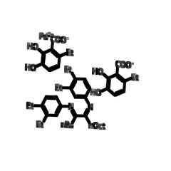 CCCCCCCCC(=Nc1ccc(CC)c(CC)c1)C(CCCC)=Nc1ccc(CC)c(CC)c1.CCc1ccc(O)c(O)c1C(=O)[O-].CCc1ccc(O)c(O)c1C(=O)[O-].[Pd+2]